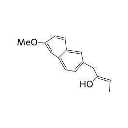 CC=C(O)Cc1ccc2cc(OC)ccc2c1